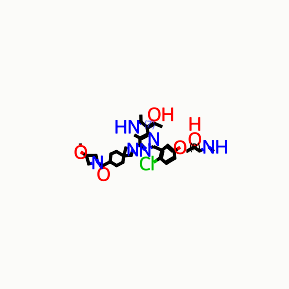 CNC[C@@H](O)COc1ccc(Cl)c(-c2nc(/C(C(C)=N)=C(\C)O)c(C)c(N3CC4(CCC(C(=O)N5CC(OC)C5)CC4)C3)n2)c1